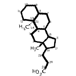 CC12CCC3C(CCC4CCCC[C@@]43C)C1CCC2CCC(=O)O